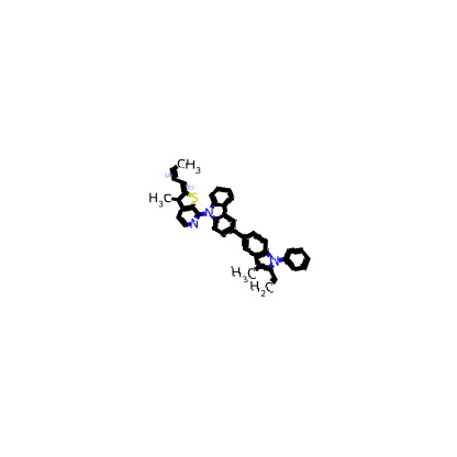 C=Cc1c(C)c2cc(-c3ccc4c(c3)c3ccccc3n4-c3nccc4c3S/C(=C/C=C\C)C4C)ccc2n1-c1ccccc1